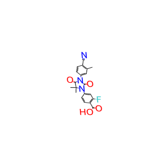 Cc1cc(N2C(=O)N(c3ccc(C(=O)O)c(F)c3)C(C)(C)C2=O)ccc1C#N